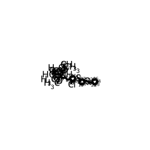 COC(OC)C(CCCc1ccc(Sc2cccc(OCc3ccccc3)c2)cc1Cl)(CCP(=O)(O)O)NC(=O)OC(C)(C)C